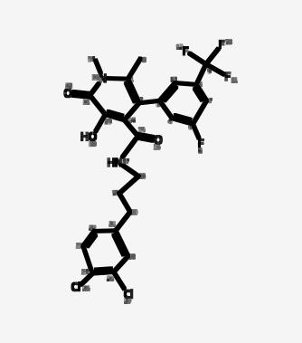 Cc1c(-c2cc(F)cc(C(F)(F)F)c2)c(C(=O)NCCCc2ccc(Cl)c(Cl)c2)c(O)c(=O)n1C